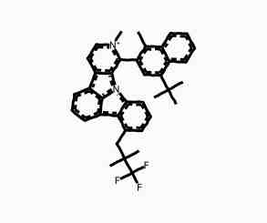 Cc1c(-c2c3c(cc[n+]2C)c2cccc4c5c(CC(C)(C)C(F)(F)F)cccc5n3c24)cc(C(C)(C)C)c2ccccc12